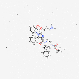 CN(C)CCCOC[C@@]1(O)CCCC[C@@H]1n1cnc(C(=O)N2CCN(C(=O)OC(C)(C)C)C[C@H]2Cc2ccccc2)c1-c1ccccc1